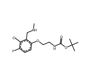 CNCc1c(OCCNC(=O)OC(C)(C)C)ccc(F)c1Cl